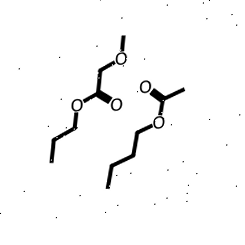 CCCCOC(C)=O.CCCOC(=O)COC